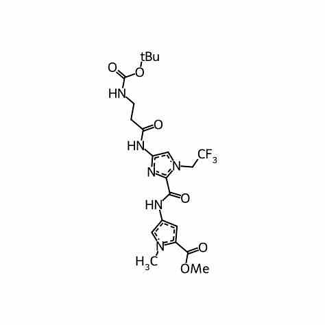 COC(=O)c1cc(NC(=O)c2nc(NC(=O)CCNC(=O)OC(C)(C)C)cn2CC(F)(F)F)cn1C